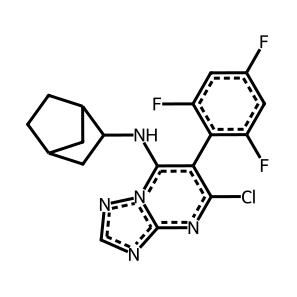 Fc1cc(F)c(-c2c(Cl)nc3ncnn3c2NC2CC3CCC2C3)c(F)c1